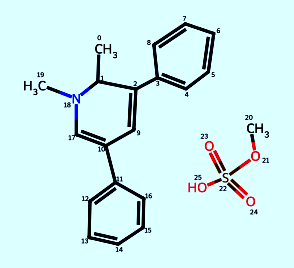 CC1C(c2ccccc2)=CC(c2ccccc2)=CN1C.COS(=O)(=O)O